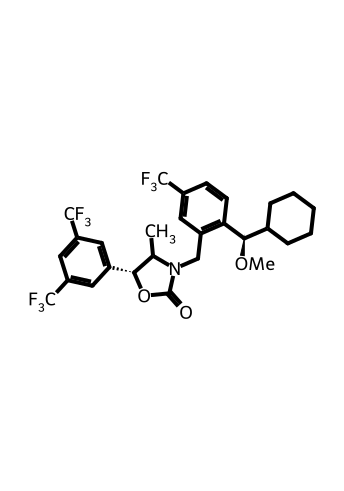 CO[C@@H](c1ccc(C(F)(F)F)cc1CN1C(=O)O[C@H](c2cc(C(F)(F)F)cc(C(F)(F)F)c2)C1C)C1CCCCC1